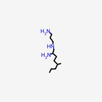 CCCC(C)CCC(N)CNCCCN